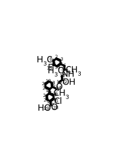 Cc1ccc(CC(C)(C)NC[C@@H](O)CO[C@H](C)c2ccccc2-c2ccc(C(=O)O)c(Cl)c2)cc1F